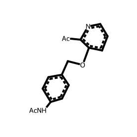 CC(=O)Nc1ccc(COc2cccnc2C(C)=O)cc1